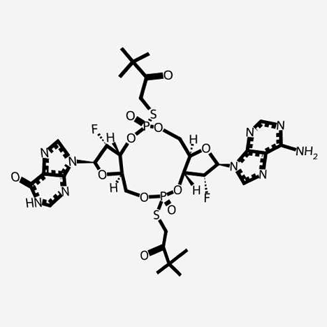 CC(C)(C)C(=O)CSP1(=O)OC[C@H]2O[C@@H](n3cnc4c(=O)[nH]cnc43)[C@H](F)[C@@H]2OP(=O)(SCC(=O)C(C)(C)C)OC[C@H]2O[C@@H](n3cnc4c(N)ncnc43)[C@H](F)[C@@H]2O1